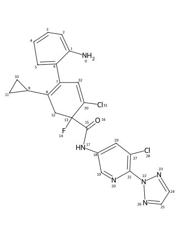 Nc1ccccc1C1=C(C2CC2)CC(F)(C(=O)Nc2cnc(-n3nccn3)c(Cl)c2)C(Cl)=C1